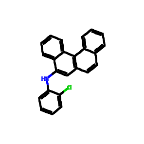 Clc1ccccc1Nc1cc2ccc3ccccc3c2c2ccccc12